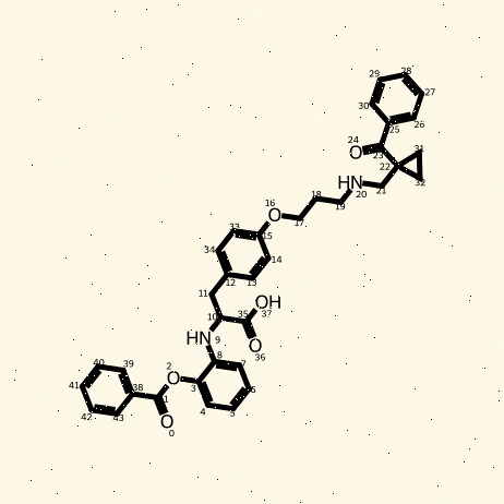 O=C(Oc1ccccc1NC(Cc1ccc(OCCCNCC2(C(=O)c3ccccc3)CC2)cc1)C(=O)O)c1ccccc1